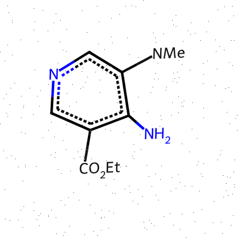 CCOC(=O)c1cncc(NC)c1N